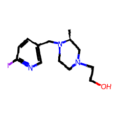 C[C@H]1CN(CCO)CCN1Cc1ccc(I)nc1